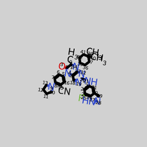 C[C@@H]1C(=O)N(c2ccc(N3CCCC3)c(C#N)c2)c2cnc(Nc3cc(F)c4[nH]ncc4c3)nc2N1C1CCC(C)(C)CC1